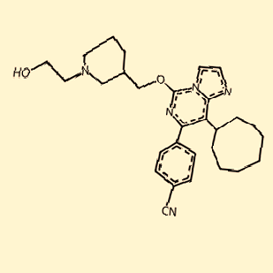 N#Cc1ccc(-c2nc(OCC3CCCN(CCO)C3)n3ccnc3c2C2CCCCCCC2)cc1